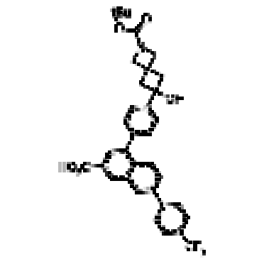 CC(C)(C)OC(=O)N1CC2(C1)CC(O)(c1ccc(-c3cc(C(=O)O)cc4cc(-c5ccc(C(F)(F)F)cc5)ccc34)cc1)C2